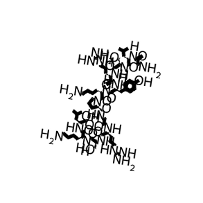 CC(C)C[C@H](NC(=O)[C@H](CCCCN)NC(=O)[C@H](CO)NC(=O)[C@H](CCCNC(=N)N)NC(=O)CNC(=O)[C@@H]1CCCN1C(=O)[C@H](CCCCN)NC(=O)[C@H](Cc1ccc(O)cc1)NC(=O)[C@H](CCCNC(=N)N)NC(=O)[C@H](CO)NC(=O)[C@H](CC(C)C)NC(=O)CN)C(=O)O